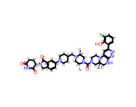 CC[C@]12CNc3nnc(-c4cccc(F)c4O)cc3N1CCN(C(=O)N1C[C@H](C)N(CC3CCN(c4ccc5c(c4)C(=O)N([C@H]4CCC(=O)NC4=O)C5)CC3)C[C@H]1C)C2